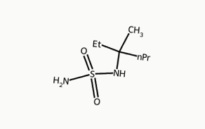 CCCC(C)(CC)NS(N)(=O)=O